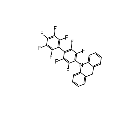 Fc1c(F)c(F)c(-c2c(F)c(F)c(N3c4ccccc4Cc4ccccc43)c(F)c2F)c(F)c1F